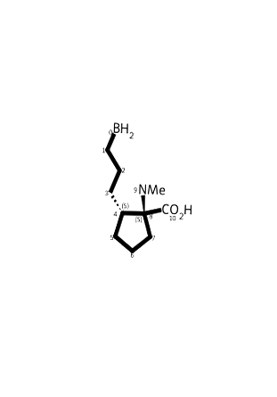 BCCC[C@H]1CCC[C@@]1(NC)C(=O)O